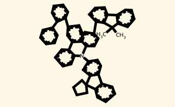 CC1(C)c2ccccc2-c2cccc(-c3ccc(N(c4ccc5c(c4)C4(CCCC4)c4ccccc4-5)c4ccccc4-c4cccc(-c5ccccc5-c5ccccc5)c4)cc3)c21